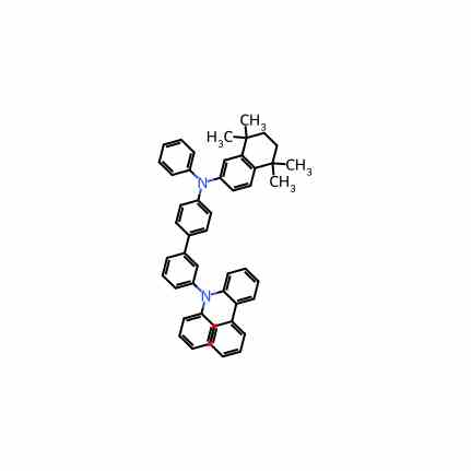 CC1(C)CCC(C)(C)c2cc(N(c3ccccc3)c3ccc(-c4cccc(N(c5ccccc5)c5ccccc5-c5ccccc5)c4)cc3)ccc21